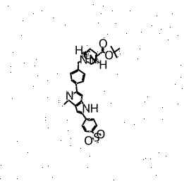 Cc1nc(-c2ccc(CN3C[C@H]4CC[C@@H]3CN4C(=O)OC(C)(C)C)cc2)cc2[nH]c(-c3ccc(S(C)(=O)=O)cc3)cc12